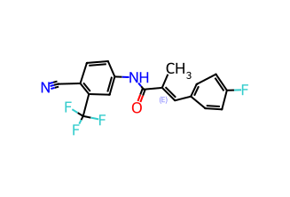 C/C(=C\c1ccc(F)cc1)C(=O)Nc1ccc(C#N)c(C(F)(F)F)c1